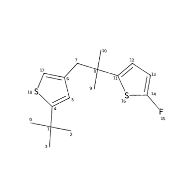 CC(C)(C)c1cc(CC(C)(C)c2ccc(F)s2)cs1